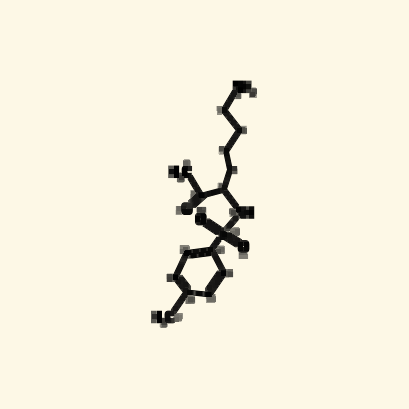 CC(=O)C(CCCCN)NS(=O)(=O)c1ccc(C)cc1